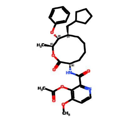 COc1ccnc(C(=O)N[C@H]2CCCC[C@H](CC3CCCC3)[C@@H](Oc3ccccc3)[C@H](C)OC2=O)c1OC(C)=O